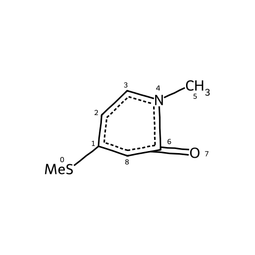 CSc1ccn(C)c(=O)c1